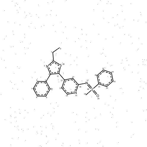 CCc1nc(-c2ccccc2)c(-c2ccnc(N=S(C)(=O)c3ccccc3)c2)s1